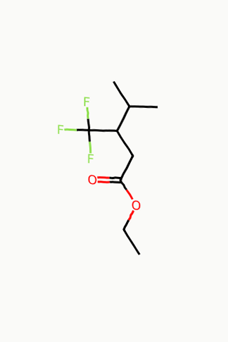 CCOC(=O)CC(C(C)C)C(F)(F)F